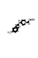 CC(C)(C)OC(=O)N1CCC(Nc2nc3cc(N)ccc3o2)CC1